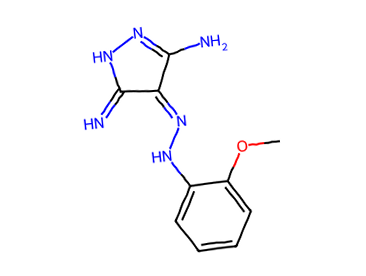 COc1ccccc1N/N=C1\C(=N)NN=C1N